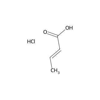 CC=CC(=O)O.Cl